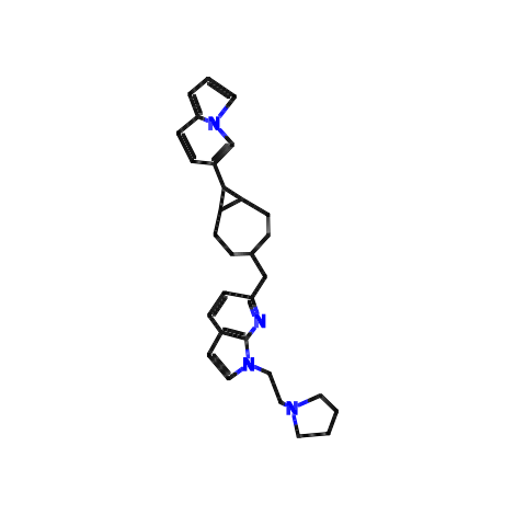 c1cc2ccc(C3C4CCC(Cc5ccc6ccn(CCN7CCCC7)c6n5)CCC43)cn2c1